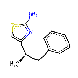 C[C@H](Cc1ccccc1)c1csc(N)n1